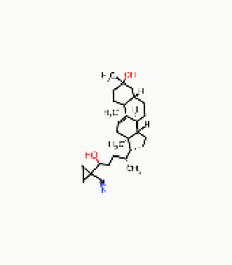 C[C@H](CC[C@H](O)C1(C#N)CC1)[C@H]1CC[C@H]2[C@@H]3CC[C@H]4C[C@@](C)(O)CC[C@]4(C)C3=CC[C@]12C